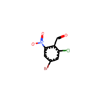 O=Cc1c(Cl)cc(Br)cc1[N+](=O)[O-]